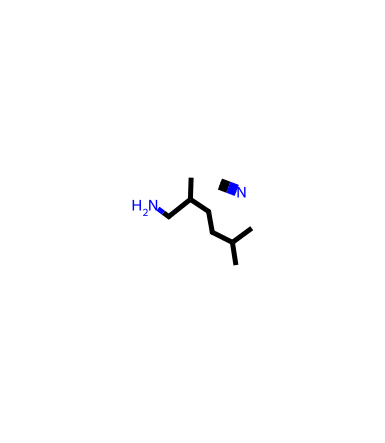 C#N.CC(C)CCC(C)CN